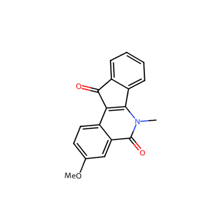 COc1ccc2c3c(n(C)c(=O)c2c1)-c1ccccc1C3=O